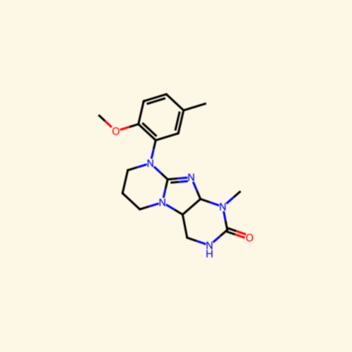 COc1ccc(C)cc1N1CCCN2C1=NC1C2CNC(=O)N1C